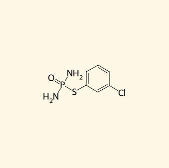 NP(N)(=O)Sc1cccc(Cl)c1